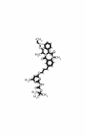 CCOOCC(C)N1C(=O)c2cc(CCCOc3cc(C)nc(NC(=O)OC(C)(C)C)n3)ccc2N(C)C(=O)C1c1ccccc1